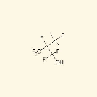 CC(C)(F)C(F)(C(O)(F)F)C(F)(F)F